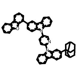 c1ccc2c(c1)oc1c(-c3ccc4c(c3)c3ccccc3n4-c3ccc(-n4c5ccccc5c5ccc(C67CC8CC(CC(C8)C6)C7)cc54)nc3)cccc12